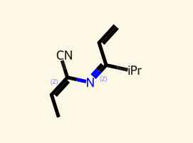 C=C/C(=N\C(C#N)=C/C)C(C)C